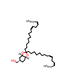 CCCCC/C=C\C/C=C\CCCCCCCCC1(CCCCCCCC/C=C\C/C=C\CCCCC)O[C@H]2C[C@H](CO)CC[C@H]2O1